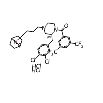 Cl.Cl.O=C(c1cc(C(F)(F)F)cc(C(F)(F)F)c1)N1CCN(CCCN2CC3CCC(CC3)C2)C[C@H]1Cc1ccc(Cl)c(Cl)c1